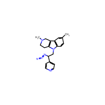 Cc1ccc2c(c1)c1c(n2CC(N=[N+]=[N-])c2ccncc2)CCN(C)C1